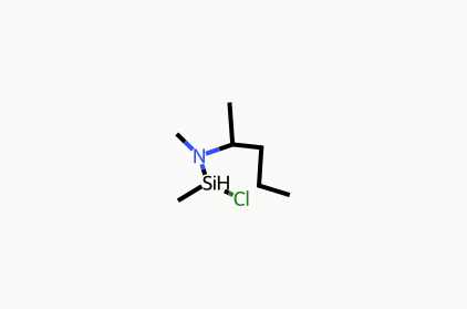 CCCC(C)N(C)[SiH](C)Cl